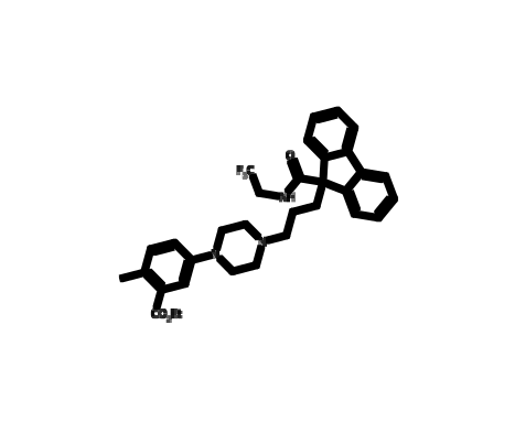 CCOC(=O)c1cc(N2CCN(CCCC3(C(=O)NCC(F)(F)F)c4ccccc4-c4ccccc43)CC2)ccc1C